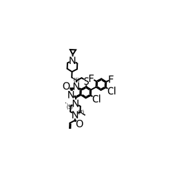 C=CC(=O)N1C[C@H](C)N(c2nc(=O)n3c4c(c(-c5cc(Cl)c(F)cc5F)c(Cl)cc24)SC[C@@H]3CC2CCN(C3CC3)CC2)C[C@H]1C